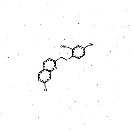 O=Cc1cc(O)ccc1OCc1ccc2ccc(Cl)cc2n1